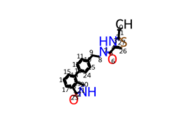 C#Cc1nc(C(=O)NCCc2ccc(-c3cccc4c3CNC4=O)cc2)cs1